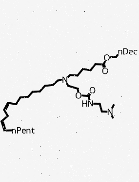 CCCCC/C=C\C/C=C\CCCCCCCCN(CCCCCC(=O)OCCCCCCCCCCC)CCOC(=O)NCCN(C)C